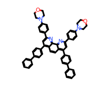 c1ccc(-c2ccc(-c3cc(-c4ccc(N5CCOCC5)cc4)nc4c3ccc3c(-c5ccc(-c6ccccc6)cc5)cc(-c5ccc(N6CCOCC6)cc5)nc34)cc2)cc1